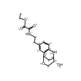 CCOC(=O)C(=O)NCCc1ccc2c(c1)C1CC(N2)[C@H](O)CO1